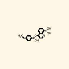 C=Cc1ccc(B(O)Oc2ccnc3c(B(O)O)cccc23)cc1